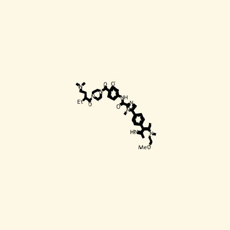 CCC(CCN(C)C)C(=O)N1CCN(C(=O)c2ccc(NC(=O)c3ncc(-c4ccc(/C(C(C)=N)=C(\C)N(C)CCOC)cc4)n3C)cc2Cl)CC1